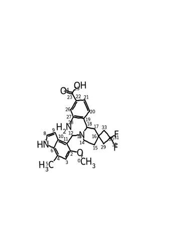 COc1cc(C)c2[nH]ccc2c1CN1CCC2(CC1c1ccc(C(=O)O)cc1N)CC(F)(F)C2